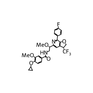 COc1cc(C(=O)NC[C@@H](OC)c2cc3c(c(-c4ccc(F)cc4)n2)OC[C@H]3C(F)(F)F)ccc1OC1CC1